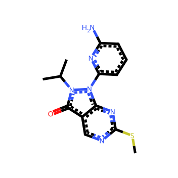 CSc1ncc2c(=O)n(C(C)C)n(-c3cccc(N)n3)c2n1